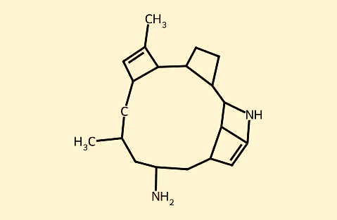 CC1=CC2CC(C)CC(N)CC3C=C4NC(C5CCC5C12)C43